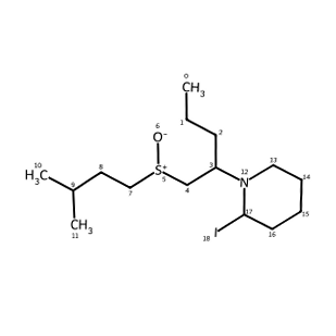 CCCC(C[S+]([O-])CCC(C)C)N1CCCCC1I